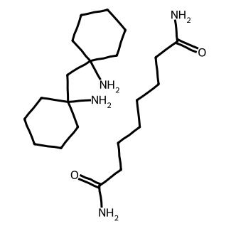 NC(=O)CCCCCCC(N)=O.NC1(CC2(N)CCCCC2)CCCCC1